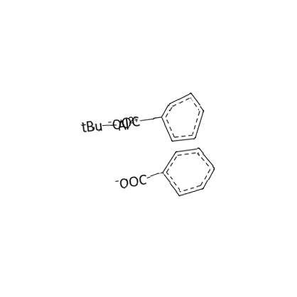 C[C](C)(C)[Al+2].O=C([O-])c1ccccc1.O=C([O-])c1ccccc1